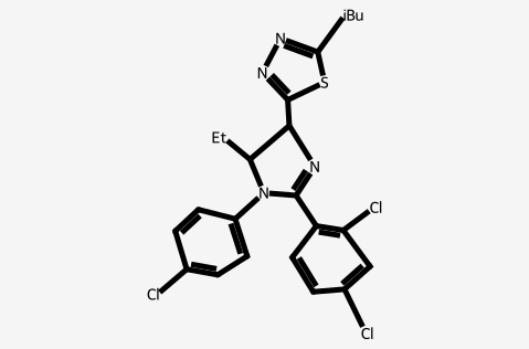 CCC(C)c1nnc(C2N=C(c3ccc(Cl)cc3Cl)N(c3ccc(Cl)cc3)C2CC)s1